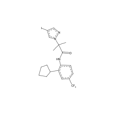 CC(C)(C(=O)Nc1ccc(C(F)(F)F)cc1C1CCCC1)n1cc(I)cn1